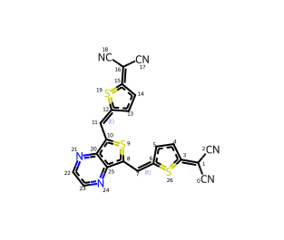 N#CC(C#N)=c1cc/c(=C\c2sc(/C=c3\ccc(=C(C#N)C#N)s3)c3nccnc23)s1